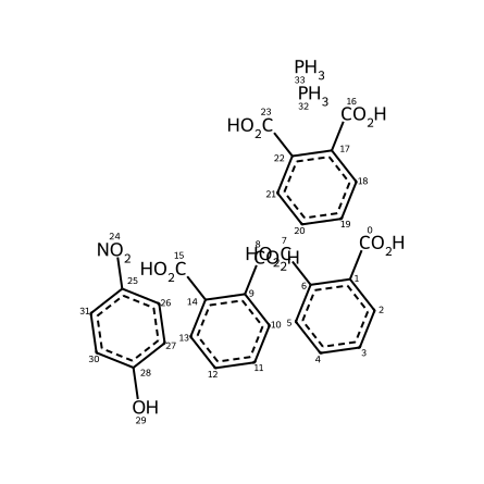 O=C(O)c1ccccc1C(=O)O.O=C(O)c1ccccc1C(=O)O.O=C(O)c1ccccc1C(=O)O.O=[N+]([O-])c1ccc(O)cc1.P.P